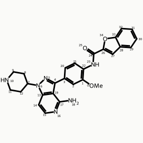 COc1cc(-c2nn(C3CCNCC3)c3ccnc(N)c23)ccc1NC(=O)c1cc2ccccc2o1